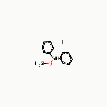 [H+].[SiH2]O[SiH](c1ccccc1)c1ccccc1